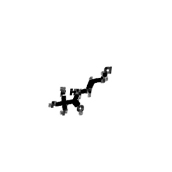 O=C(NN=CSCl)C(F)(F)F